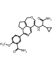 COc1ccc(C2=NC=C3C(NC(C(N)=O)C4CC4)=COCC4=C3N2CC4)cc1C(N)=O